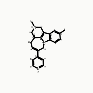 Cc1ccc2c(c1)c1c3n2CC(c2ccncc2)=CCC3(C)CN(C)C1